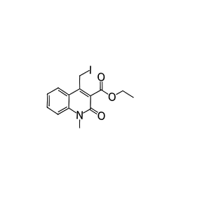 CCOC(=O)c1c(CI)c2ccccc2n(C)c1=O